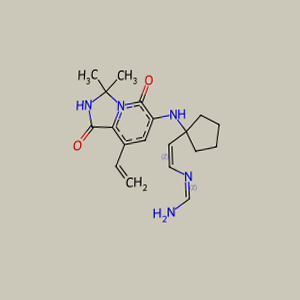 C=Cc1cc(NC2(/C=C\N=C/N)CCCC2)c(=O)n2c1C(=O)NC2(C)C